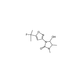 CC1C(O)N(c2cc(C(C)(C)F)on2)C(=O)N1C